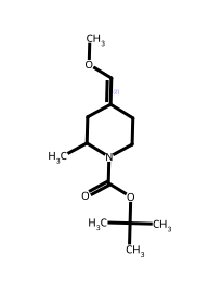 CO/C=C1/CCN(C(=O)OC(C)(C)C)C(C)C1